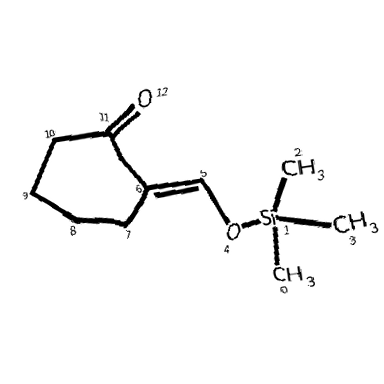 C[Si](C)(C)OC=C1CCCCC1=O